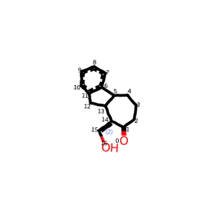 O=C1CCCC2c3ccccc3CC2/C1=C/O